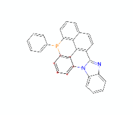 c1ccc(P(c2ccccc2)c2cccc3ccc4c(c5ccccc5n5c6ccccc6nc45)c23)cc1